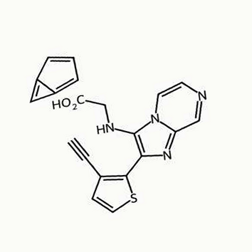 C#Cc1ccsc1-c1nc2cnccn2c1NCC(=O)O.c1cc2cc-2c1